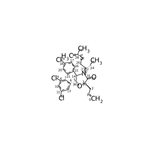 C=CC[C@H]1O[C@H](c2cc(Cl)cc(Cl)c2)C(c2ccc(Cl)cc2)N([C@@H](CC)CSC(C)C)C1=O